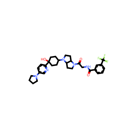 O=C(NCC(=O)N1CCC2C1CCN2C1CCC(O)(c2ccc(N3CCCC3)cn2)CC1)c1cccc(C(F)(F)F)c1